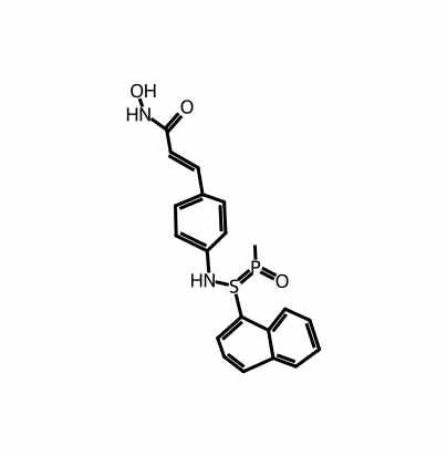 CP(=O)=S(Nc1ccc(/C=C/C(=O)NO)cc1)c1cccc2ccccc12